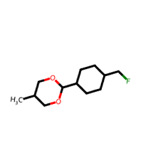 CC1COC(C2CCC(CF)CC2)OC1